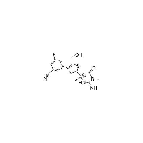 CN1C(=N)N[C@](C)(c2cc(-c3cc(F)cc(C#N)c3)c(CO)s2)CC1=O